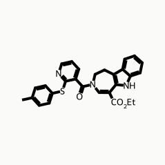 CCOC(=O)C1=CN(C(=O)c2cccnc2Sc2ccc(C)cc2)CCc2c1[nH]c1ccccc21